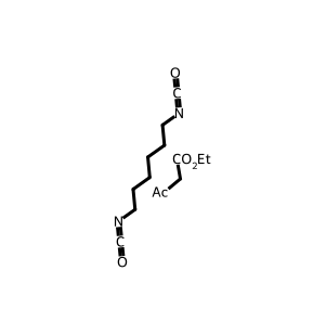 CCOC(=O)CC(C)=O.O=C=NCCCCCCN=C=O